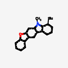 Cn1c2cc3oc4ccccc4c3cc2c2cccc(C(C)(C)C)c21